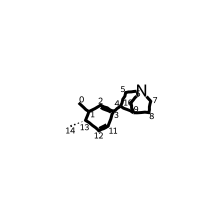 CC1C=C(C2CN3CCC2C3)C=C[C@@H]1C